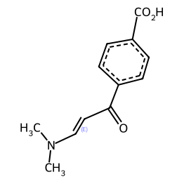 CN(C)/C=C/C(=O)c1ccc(C(=O)O)cc1